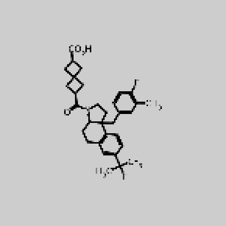 Cc1cc(CC23CCN(C(=O)C4CC5(CC(C(=O)O)C5)C4)C2CCc2cc(C(C)(F)C(F)(F)F)ccc23)ccc1F